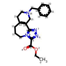 CCOC(=O)c1nnc2n1CCCC1=C2CN(Cc2ccccc2)CC1